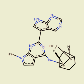 CC(C)n1ccc2c(N[C@H]3C4CCC(CC4)[C@@H]3C(=O)O)nc(-c3c[nH]c4ncncc34)nc21